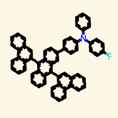 Fc1ccc(N(c2ccccc2)c2ccc(-c3ccc4c(-c5cc6ccccc6c6ccccc56)c5ccccc5c(-c5cc6ccccc6c6ccccc56)c4c3)cc2)cc1